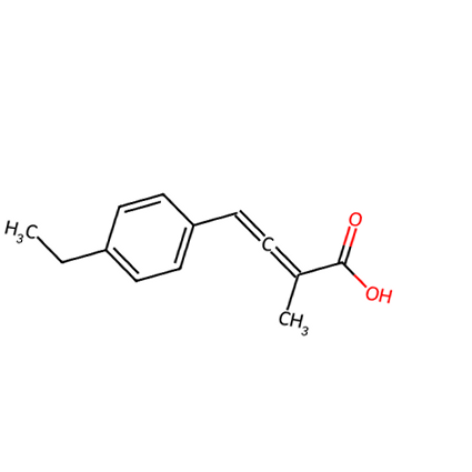 CCc1ccc(C=C=C(C)C(=O)O)cc1